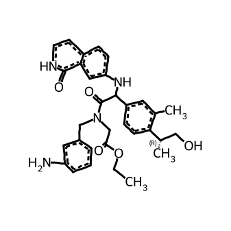 CCOC(=O)CN(Cc1cccc(N)c1)C(=O)C(Nc1ccc2cc[nH]c(=O)c2c1)c1ccc([C@@H](C)CO)c(C)c1